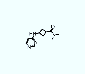 CN(C)C(=O)C1CC(Nc2ccncn2)C1